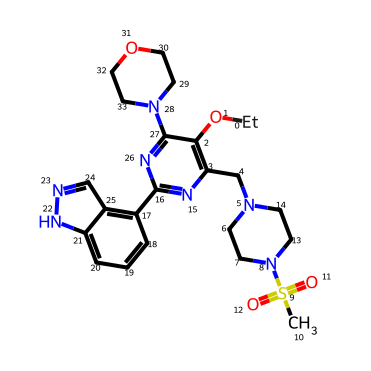 CCOc1c(CN2CCN(S(C)(=O)=O)CC2)nc(-c2cccc3[nH]ncc23)nc1N1CCOCC1